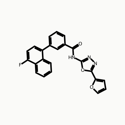 O=C(Nc1nnc(-c2ccco2)o1)c1cccc(-c2ccc(F)c3ccccc23)c1